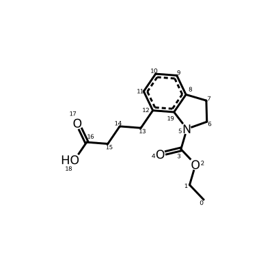 CCOC(=O)N1CCc2cccc(CCCC(=O)O)c21